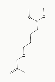 C=C(C)COCCC[CH2][Ti]([O]C)[O]C